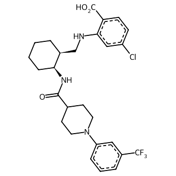 O=C(O)c1ccc(Cl)cc1NC[C@@H]1CCCC[C@@H]1NC(=O)C1CCN(c2cccc(C(F)(F)F)c2)CC1